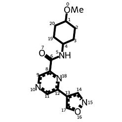 COC1CCC(NC(=O)c2cncc(-c3cnoc3)n2)CC1